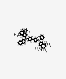 CC1(C)CCC(C)(C)c2cc(N(c3ccccc3)c3ccc(-c4ccc(N(c5ccc6c(c5)C(C)(C)CCC6(C)C)c5ccc6ccccc6c5)cc4)cc3)ccc21